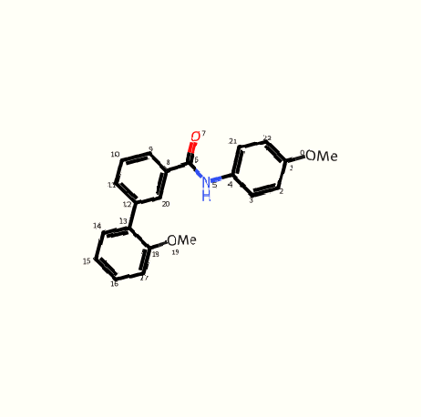 COc1ccc(NC(=O)c2cccc(-c3ccccc3OC)c2)cc1